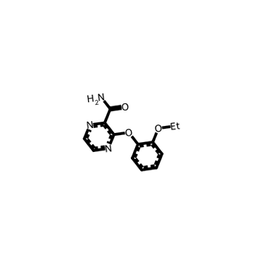 CCOc1ccccc1Oc1nccnc1C(N)=O